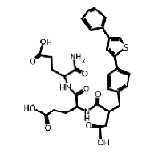 NC(=O)C(CCC(=O)O)NC(=O)C(CCC(=O)O)NC(=O)C(CC(=O)O)Cc1ccc(-c2cc(-c3ccccc3)cs2)cc1